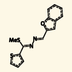 CS/C(=N\N=Cc1cc2ccccc2o1)c1cccs1